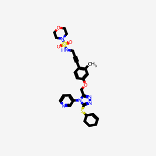 Cc1cc(OCc2nnc(SC3C=CCCC3)n2-c2cccnc2)ccc1C#CCNS(=O)(=O)N1CCOCC1